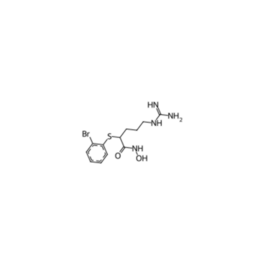 N=C(N)NCCCC(Sc1ccccc1Br)C(=O)NO